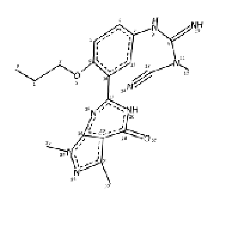 CCCOc1ccc(NC(=N)N(C)C#N)cc1-c1nc2c(c(C)nn2C)c(=O)[nH]1